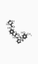 Cc1ccc(S(=O)(=O)N2CCC[C@H]2C(=O)N[C@@H](Cc2ccc(NC(=O)C3CNCCN3)cc2)C(=O)O)cc1O